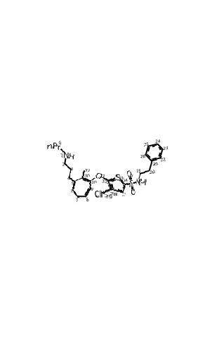 CCCNCCCC1=CCC=CC(Oc2sc(S(=O)(=O)NCCc3ccccc3)cc2Cl)=C1C